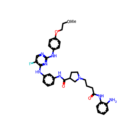 COCCOc1ccc(Nc2ncc(F)c(Nc3cccc(NC(=O)C4CCN(CCCC(=O)Nc5ccccc5N)C4)c3)n2)cc1